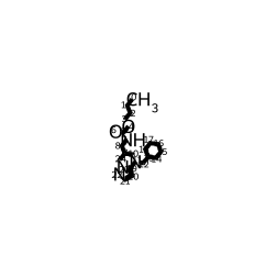 CCCCOC(=O)NCC1CN(CC2CCCCC2)c2ccnn2C1